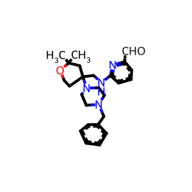 CC1(C)CC(CNc2cccc(C=O)n2)(N2CCN(Cc3ccccc3)CC2)CCO1